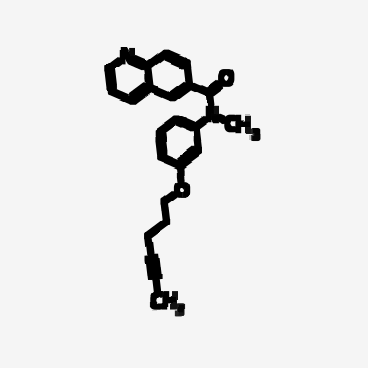 CC#CCCCOc1cccc(N(C)C(=O)c2ccc3ncccc3c2)c1